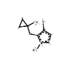 Cn1ncc(Br)c1CC1(C)CC1